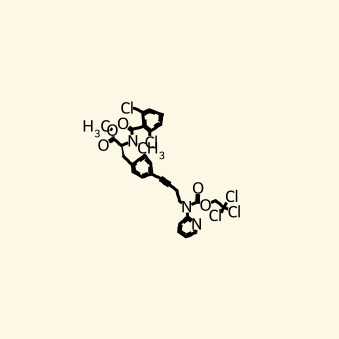 COC(=O)[C@H](Cc1ccc(C#CCCN(C(=O)OCC(Cl)(Cl)Cl)c2ccccn2)cc1)N(C)C(=O)c1c(Cl)cccc1Cl